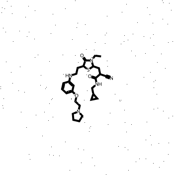 CCN1C(=O)C(CCNc2cccc(OCCN3CCCC3)c2)SC1CC(C#N)C(=O)NCC1CC1